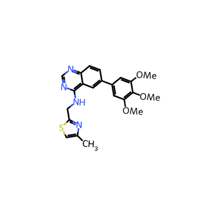 COc1cc(-c2ccc3ncnc(NCc4nc(C)cs4)c3c2)cc(OC)c1OC